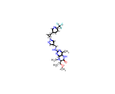 CO[C@H](C)C1C(=O)Nc2c(C)nc(NCc3cnn([C@@H]4CC4c4ccc(C(F)(F)F)nc4)c3)nc2N1C